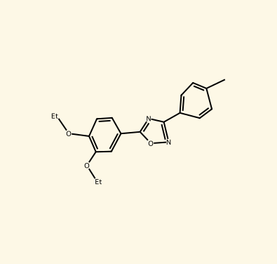 CCOc1ccc(-c2nc(-c3ccc(C)cc3)no2)cc1OCC